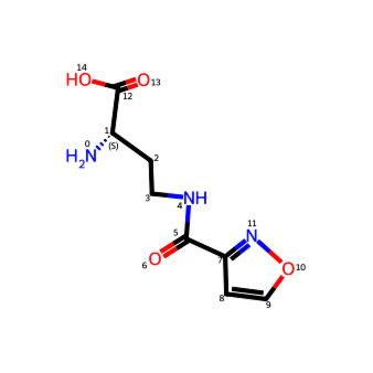 N[C@@H](CCNC(=O)c1ccon1)C(=O)O